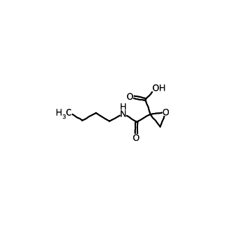 CCCCNC(=O)C1(C(=O)O)CO1